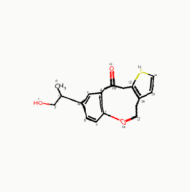 CC(CO)c1ccc2c(c1)C(=O)c1sccc1CO2